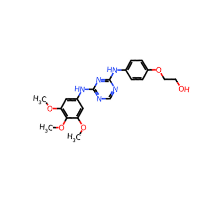 COc1cc(Nc2ncnc(Nc3ccc(OCCO)cc3)n2)cc(OC)c1OC